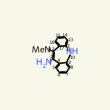 CN/C1=C(\N)c2ccccc2CNc2ccccc21